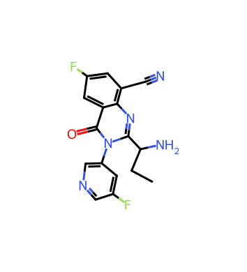 CCC(N)c1nc2c(C#N)cc(F)cc2c(=O)n1-c1cncc(F)c1